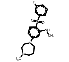 CNc1cc(N2CCCN(C)CC2)ccc1S(=O)(=O)c1cccc(F)c1